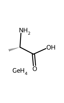 C[C@H](N)C(=O)O.[GeH4]